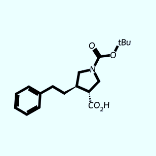 CC(C)(C)OC(=O)N1C[C@H](CCc2ccccc2)[C@@H](C(=O)O)C1